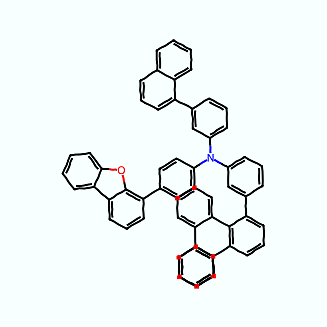 c1ccc(-c2ccccc2-c2c(-c3ccccc3)cccc2-c2cccc(N(c3ccc(-c4cccc5c4oc4ccccc45)cc3)c3cccc(-c4cccc5ccccc45)c3)c2)cc1